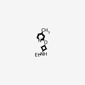 CCN[C@H]1C[C@H](Oc2cc(C)ccn2)C1